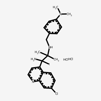 CN(C)c1ccc(CNC(C)(C)C(N)(I)c2ccnc3cc(Cl)ccc23)cc1.Cl.Cl